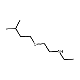 CCNCCOCCC(C)C